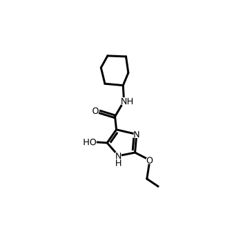 CCOc1nc(C(=O)NC2CCCCC2)c(O)[nH]1